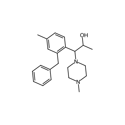 Cc1ccc(C(C(C)O)N2CCN(C)CC2)c(Cc2ccccc2)c1